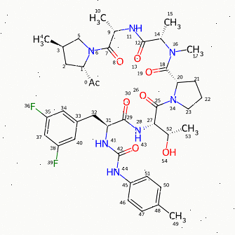 CC(=O)[C@@H]1C[C@@H](C)CN1C(=O)[C@H](C)NC(=O)[C@H](C)N(C)C(=O)[C@@H]1CCCN1C(=O)[C@@H](NC(=O)[C@H](Cc1cc(F)cc(F)c1)NC(=O)Nc1ccc(C)cc1)[C@H](C)O